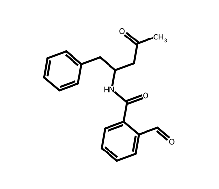 CC(=O)CC(Cc1ccccc1)NC(=O)c1ccccc1C=O